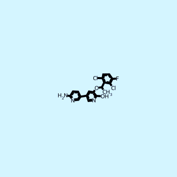 CC(Oc1cc(-c2ccc(N)nc2)cnc1O)c1c(Cl)ccc(F)c1Cl